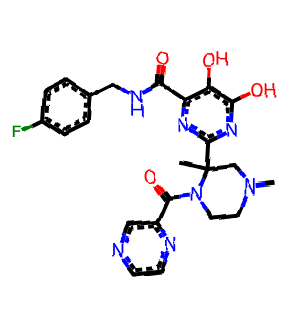 CN1CCN(C(=O)c2cnccn2)C(C)(c2nc(O)c(O)c(C(=O)NCc3ccc(F)cc3)n2)C1